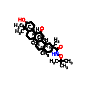 CC(C)(C)ONC(=O)[C@@]1(C)CC[C@]2(C)CC[C@]3(C)C(=CC(=O)[C@@H]4[C@@]5(C)CC[C@H](O)C(C)(C)C5CC[C@]43C)[C@@H]2C1